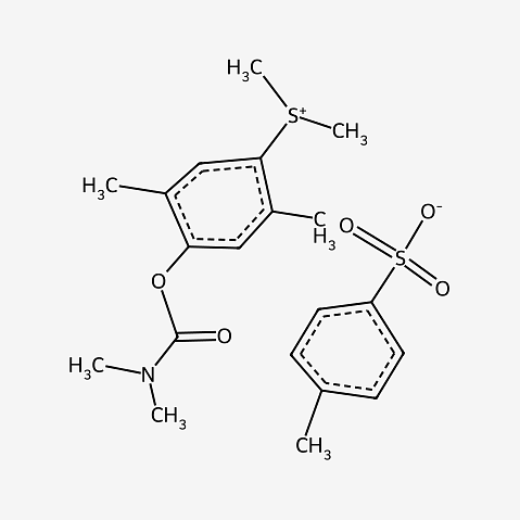 Cc1cc([S+](C)C)c(C)cc1OC(=O)N(C)C.Cc1ccc(S(=O)(=O)[O-])cc1